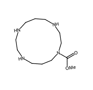 COC(=O)N1CCCNCCNCCCNCC1